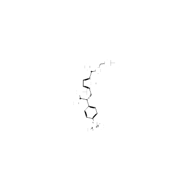 CCOC(=O)c1ccc(CC(C(C)=O)c2ccc([N+](=O)[O-])cc2)o1